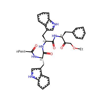 CCCCCC(=O)N[C@@H](Cc1c[nH]c2ccccc12)C(=O)N[C@@H](Cc1c[nH]c2ccccc12)C(=O)N[C@@H](Cc1ccccc1)C(=O)COCC